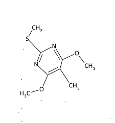 COc1nc(SC)nc(OC)c1C